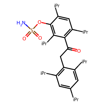 CC(C)c1cc(C(C)C)c(CC(=O)c2c(C(C)C)cc(C(C)C)c(OS(N)(=O)=O)c2C(C)C)c(C(C)C)c1